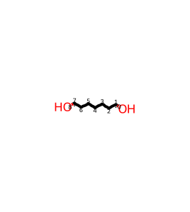 O[CH]CCCCC[CH]O